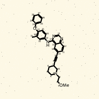 COCCN1CCCC(C#Cc2ccc3ncnc(Nc4ccc(Oc5ccccc5)c(C)c4)c3c2)C1